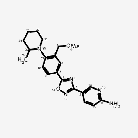 COCc1cc(-c2nc(-c3ccc(N)nc3)no2)ccc1N1CCCCC1C